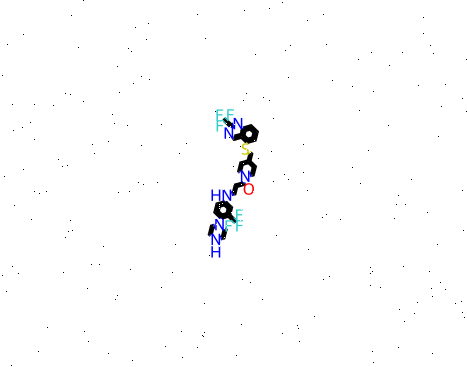 O=C(CCNc1ccc(N2CCNCC2)c(C(F)(F)F)c1)N1CCC(CSc2cccc3nc(C(F)(F)F)ncc23)CC1